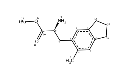 Cc1cc2c(cc1C[C@H](N)C(=O)OC(C)(C)C)CCC2